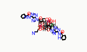 CC(C)(C)[Si](C)(C)O[C@@H]1C2COP(=O)(O)O[C@]3(C)[C@@H](COP(=S)(OCCC#N)O[C@H]1[C@H](n1cnc4c(NC(=O)c5ccccc5)ncnc41)O2)O[C@@H](n1cnc2c(NC(=O)c4ccccc4)ncnc21)[C@@H]3F